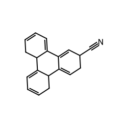 N#CC1C=C2C3=CC=CCC3C3=CC=CCC3C2=CC1